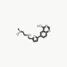 C[S+]([O-])CCNCc1ccc(-c2ccc3ncnc(O)c3c2)o1